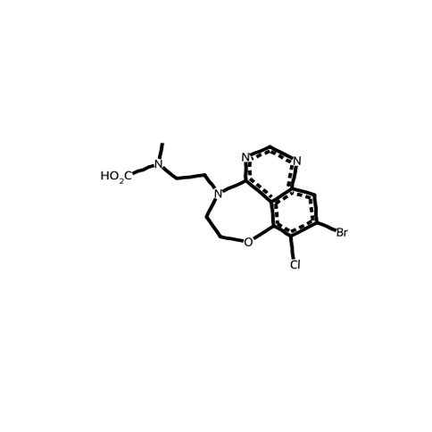 CN(CCN1CCOc2c(Cl)c(Br)cc3ncnc1c23)C(=O)O